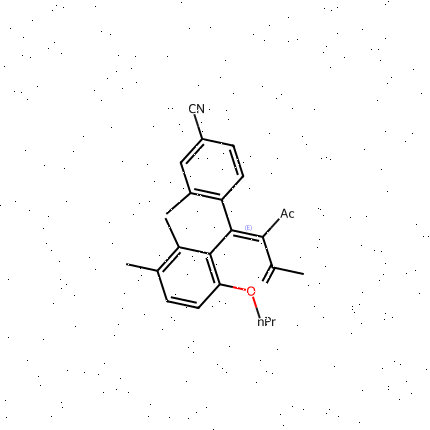 C=C(C)/C(C(C)=O)=C(/c1ccc(C#N)cc1C)c1c(OCCC)ccc(C)c1C